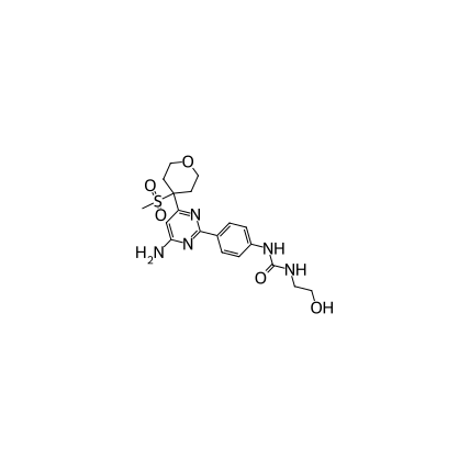 CS(=O)(=O)C1(c2cc(N)nc(-c3ccc(NC(=O)NCCO)cc3)n2)CCOCC1